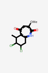 COc1cc(=O)c2c([nH]c1=O)CC(Cl)C(Cl)C2C